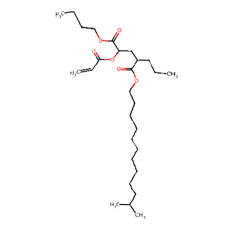 C=CC(=O)OC(CC(CCC)C(=O)OCCCCCCCCCCC(C)C)C(=O)OCCCC